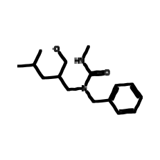 CNC(=O)N(Cc1ccccc1)CC(C[O])CC(C)C